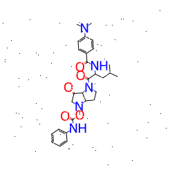 CC(C)CC(NC(=O)c1ccc(N(C)C)cc1)C(=O)N1CCC2C1C(=O)CN2OC(=O)Nc1ccccc1